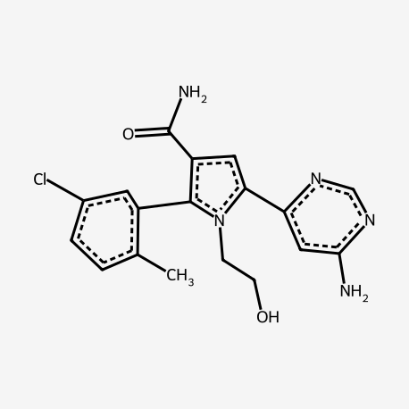 Cc1ccc(Cl)cc1-c1c(C(N)=O)cc(-c2cc(N)ncn2)n1CCO